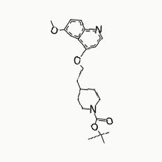 COc1ccc2nccc(OCCC3CCN(C(=O)OC(C)(C)C)CC3)c2c1